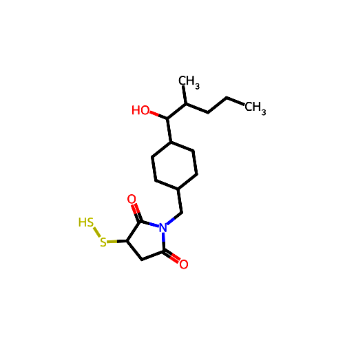 CCCC(C)C(O)C1CCC(CN2C(=O)CC(SS)C2=O)CC1